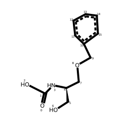 O=C(O)N[C@H](CO)COCc1ccccc1